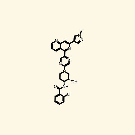 Cn1cc(-c2cc3ncccc3c(-c3cnc(N4CC[C@H](NC(=O)c5ccccc5Cl)[C@@H](O)C4)cn3)n2)cn1